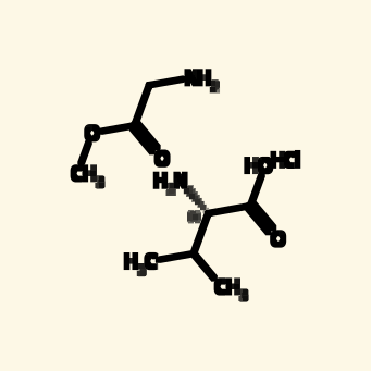 CC(C)[C@H](N)C(=O)O.COC(=O)CN.Cl